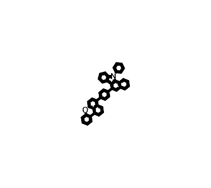 c1ccc(-n2c3ccccc3c3c(-c4ccc(-c5ccc6c7c(cccc57)-c5ccccc5O6)cc4)cc4ccccc4c32)cc1